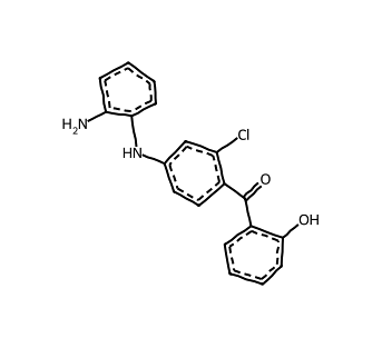 Nc1ccccc1Nc1ccc(C(=O)c2ccccc2O)c(Cl)c1